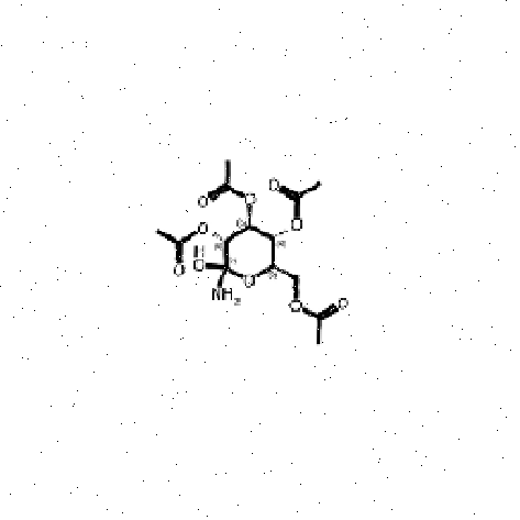 CC(=O)OC[C@H]1O[C@](N)(O)[C@H](OC(C)=O)[C@@H](OC(C)=O)[C@@H]1OC(C)=O